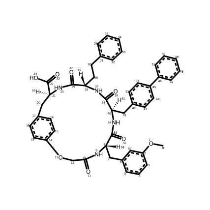 COc1cccc(C[C@@H]2NC(=O)COc3ccc(cc3)C[C@@H](C(=O)O)NC(=O)[C@H](CCc3ccccc3)NC(=O)[C@@H](Cc3ccc(-c4ccccc4)cc3)NC2=O)c1